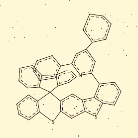 c1ccc(-c2cc(-c3ccccc3)nc(-c3cccc4sc5cc6c(cc5c34)C3(c4ccccc4S6)c4ccccc4-c4ccccc43)c2)cc1